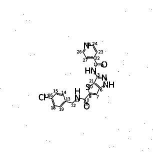 O=C(Nc1n[nH]c2cc(C(=O)NCc3ccc(Cl)cc3)sc12)c1ccncc1